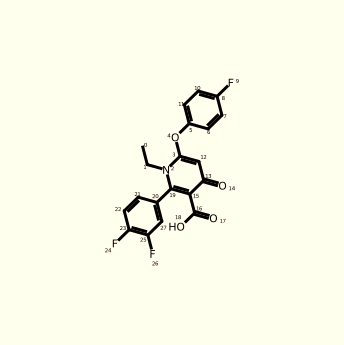 CCn1c(Oc2ccc(F)cc2)cc(=O)c(C(=O)O)c1-c1ccc(F)c(F)c1